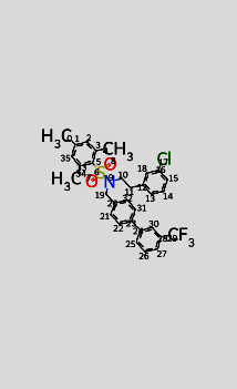 Cc1cc(C)c(S(=O)(=O)N(CCc2cccc(Cl)c2)Cc2ccc(-c3cccc(C(F)(F)F)c3)cc2)c(C)c1